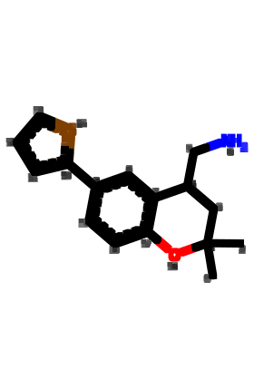 CC1(C)CC(CN)c2cc(-c3cccs3)ccc2O1